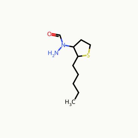 CCCCCC1SCCC1N(N)C=O